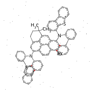 CC(C)c1cc(N(c2ccccc2-c2ccccc2)c2cccc3c2sc2ccccc23)c2cc3c4c(cc(N(c5ccccc5-c5ccccc5)c5cccc6c5sc5ccccc56)c5ccc1c2c54)CCC3(C)C